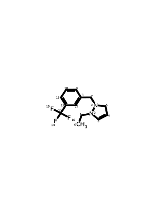 CCN1C=CCN1Cc1cccc(C(F)(F)F)c1